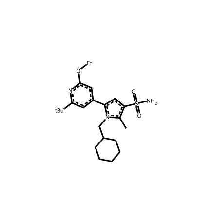 CCOc1cc(-c2cc(S(N)(=O)=O)c(C)n2CC2CCCCC2)cc(C(C)(C)C)n1